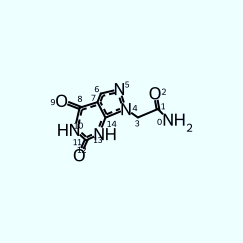 NC(=O)Cn1ncc2c(=O)[nH]c(=O)[nH]c21